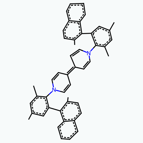 Cc1cc(C)c(N2C=CC(=C3C=CN(c4c(C)cc(C)cc4-c4c(C)ccc5ccccc45)C=C3)C=C2)c(-c2c(C)ccc3ccccc23)c1